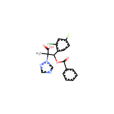 CC(C(=O)O)(C(OC(=O)c1ccccc1)c1ccc(F)cc1Cl)n1cncn1